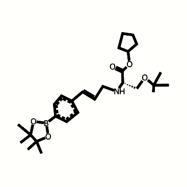 CC(C)(C)OC[C@H](NCC=Cc1ccc(B2OC(C)(C)C(C)(C)O2)cc1)C(=O)OC1CCCC1